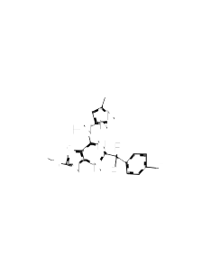 CSc1nc2nc(C(F)(F)c3ccc(F)cc3)nc(Nc3cc(C)[nH]n3)c2s1